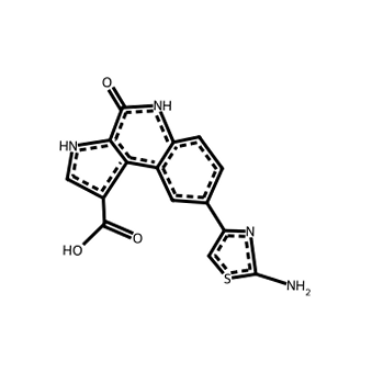 Nc1nc(-c2ccc3[nH]c(=O)c4[nH]cc(C(=O)O)c4c3c2)cs1